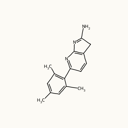 Cc1cc(C)c(-c2ccc3c(n2)N=C(N)C3)c(C)c1